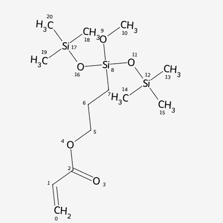 C=CC(=O)OCCC[Si](OC)(O[Si](C)(C)C)O[Si](C)(C)C